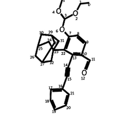 CCOC(OC)Oc1ccc(C=O)c(C#Cc2ccccc2)c1C12CC3CC(CC(C3)C1)C2